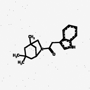 CC1(C)CC2CC(C)(CN2C(=O)Cc2c[nH]c3ccccc23)C1